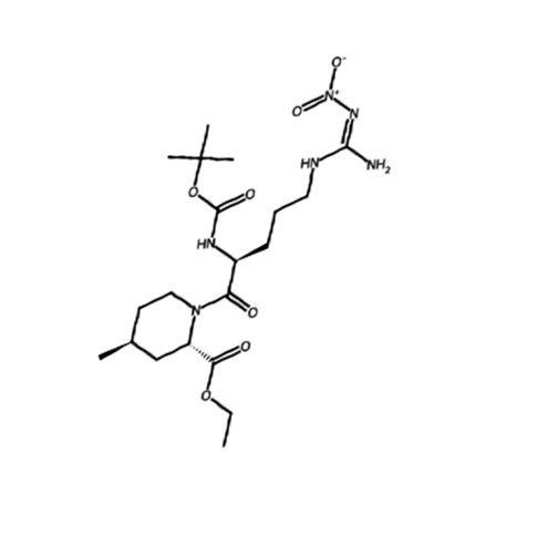 CCOC(=O)[C@@H]1C[C@@H](C)CCN1C(=O)[C@H](CCCN/C(N)=N\[N+](=O)[O-])NC(=O)OC(C)(C)C